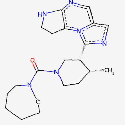 C[C@@H]1CCN(C(=O)N2CCCCCC2)C[C@@H]1c1ncc2cnc3c(n12)CCN3